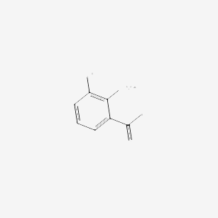 COc1c(C(=O)I)cccc1C(C)(C)C